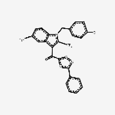 Cc1ccc2c(c1)c(C(=O)c1noc(-c3ccccc3)n1)c(C(F)(F)F)n2Cc1ccc(Cl)cc1